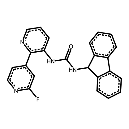 O=C(Nc1cccnc1-c1ccnc(F)c1)NC1c2ccccc2-c2ccccc21